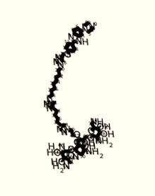 CN1CCN(c2ccc3nc(-c4ccc(OCc5cn(CCCCCCCCCCn6cc(CCCCc7cn(CCOC(OC8C(O)[C@H](N)CC(N)[C@H]8O[C@H]8OC(CN)[C@@H](O)C(O)C8N)C(O)CO[C@H]8OC(CN)[C@@H](O)C(O)C8N)nn7)nn6)nn5)cc4)[nH]c3c2)CC1